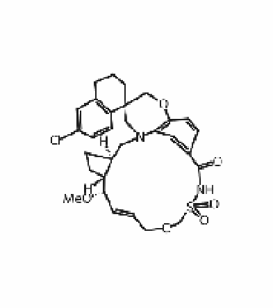 CO[C@H]1/C=C/CCCS(=O)(=O)NC(=O)c2ccc3c(c2)N(C[C@@H]2CC[C@H]21)C[C@@]1(CCCc2cc(Cl)ccc21)CO3